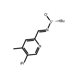 Cc1cc(/C=N/[S@+]([O-])C(C)(C)C)ncc1C(C)C